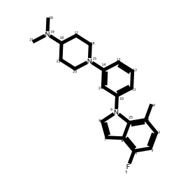 Cc1ccc(F)c2ccn(-c3cccc(N4CCC(N(C)C)CC4)c3)c12